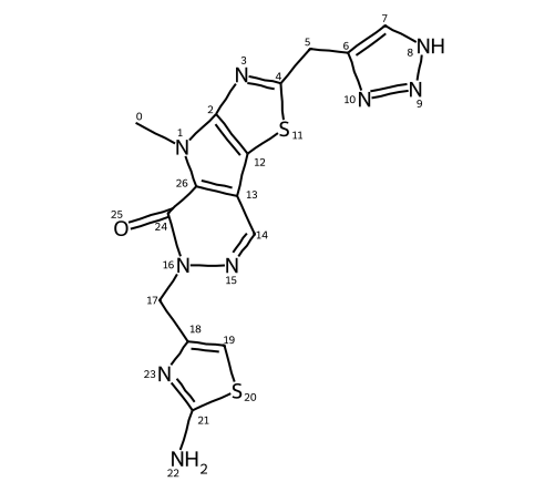 Cn1c2nc(Cc3c[nH]nn3)sc2c2cnn(Cc3csc(N)n3)c(=O)c21